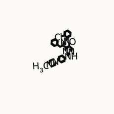 CN1CCN(c2ccc(Nc3ncc4c(=O)n(-c5ccccc5Cl)nc(Cc5ccccc5)c4n3)cc2)CC1